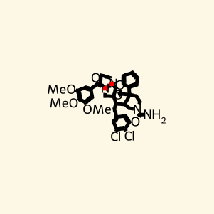 COc1cc(C(=O)N2CCC(C(Cc3ccc(Cl)c(Cl)c3)C3CN(C(N)=O)CCC3(C(=O)ON3CCCC3)c3ccccc3)C2)cc(OC)c1OC